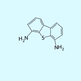 Nc1cccc2c1sc1c(N)cccc12